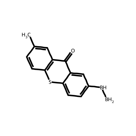 BBc1ccc2sc3ccc(C)cc3c(=O)c2c1